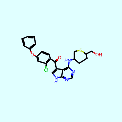 O=C(c1ccc(Oc2ccccc2)cc1Cl)c1c[nH]c2ncnc(NC3CCC(CO)SC3)c12